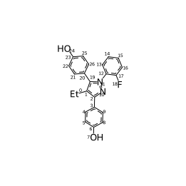 CCc1c(-c2ccc(O)cc2)nn(-c2ccccc2F)c1-c1ccc(O)cc1